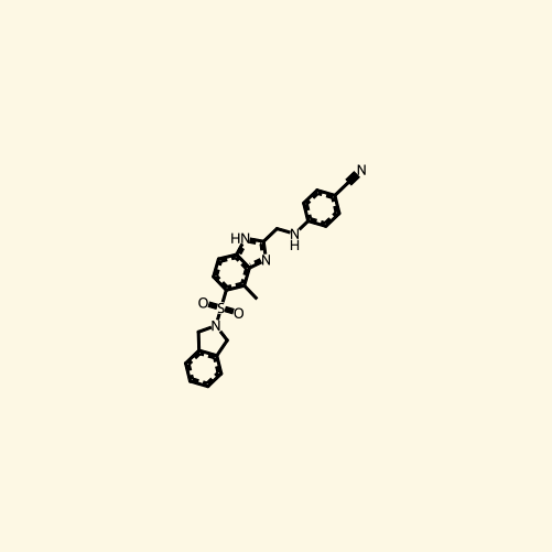 Cc1c(S(=O)(=O)N2Cc3ccccc3C2)ccc2[nH]c(CNc3ccc(C#N)cc3)nc12